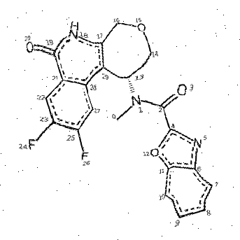 CN(C(=O)c1nc2ccccc2o1)[C@H]1COCc2[nH]c(=O)c3cc(F)c(F)cc3c21